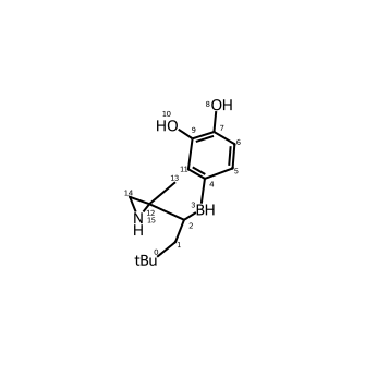 CC(C)(C)CC(Bc1ccc(O)c(O)c1)C1(C)CN1